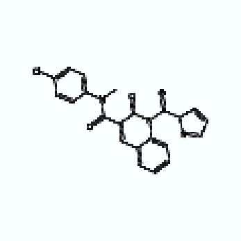 CN(C(=O)c1cc2ccccc2n(C(=O)C2C=CC=N2)c1=O)c1ccc(Cl)cc1